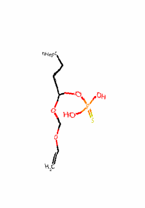 C=COCOC(CCCCCCCCC)OP(O)(O)=S